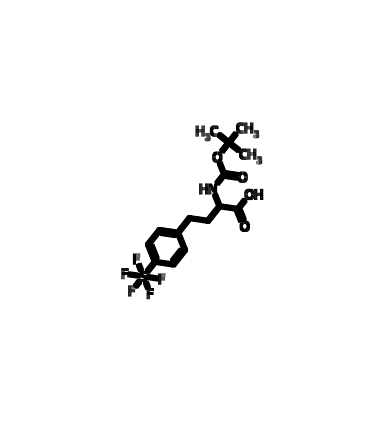 CC(C)(C)OC(=O)NC(CCc1ccc(S(F)(F)(F)(F)F)cc1)C(=O)O